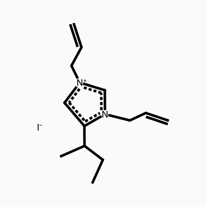 C=CCn1c[n+](CC=C)cc1C(C)CC.[I-]